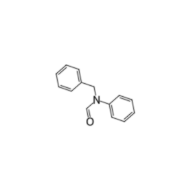 O=CN(Cc1ccccc1)c1ccccc1